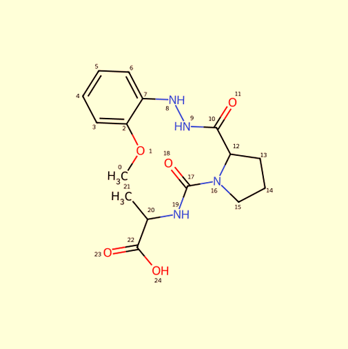 COc1ccccc1NNC(=O)C1CCCN1C(=O)NC(C)C(=O)O